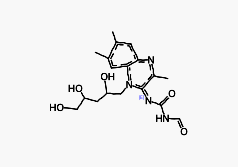 Cc1cc2nc(C)/c(=N\C(=O)NC=O)n(CC(O)CC(O)CO)c2cc1C